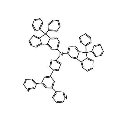 c1ccc(C2(c3ccccc3)c3ccccc3-c3cc(N(c4ccc(-c5cc(-c6cccnc6)cc(-c6cccnc6)c5)cc4)c4ccc5c(c4)-c4ccccc4C5(c4ccccc4)c4ccccc4)ccc32)cc1